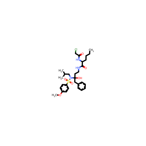 CCCCC(NC(=O)CCl)C(=O)NCCC(O)(Cc1ccccc1)N(CC(C)C)S(=O)(=O)c1ccc(OC)cc1